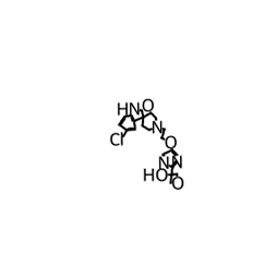 O=C1Nc2ccc(Cl)cc2C12CCN(CCOc1cnc(C3(O)COC3)nc1)CC2